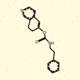 O=C(NCCc1ccccc1)OC1=Cc2ccncc2CC1